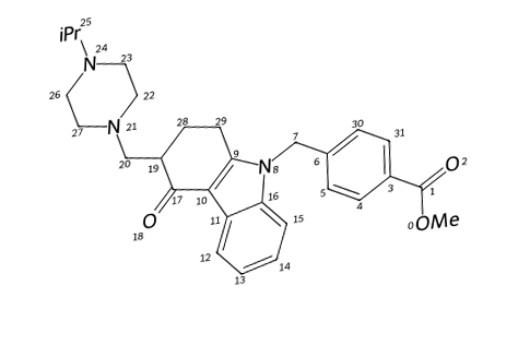 COC(=O)c1ccc(Cn2c3c(c4ccccc42)C(=O)C(CN2CCN(C(C)C)CC2)CC3)cc1